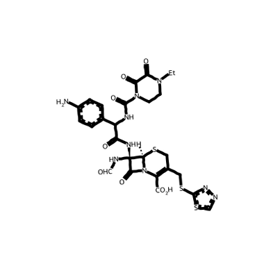 CCN1CCN(C(=O)NC(C(=O)N[C@]2(NC=O)C(=O)N3C(C(=O)O)=C(CSc4nncs4)CS[C@@H]32)c2ccc(N)cc2)C(=O)C1=O